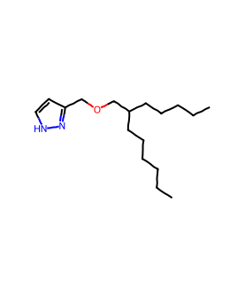 CCCCCCC(CCCCC)COCc1cc[nH]n1